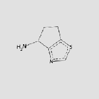 NC1CCc2scnc21